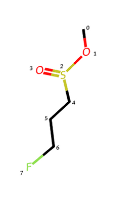 COS(=O)CCCF